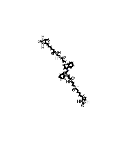 O=C(CCCCC1SCC2NC(=O)NC21)NCCNC(=O)CCN1C=C/C(=C\c2sc3ccccc3[n+]2CCC(=O)NCCNC(=O)CCCCC2SCC3NC(=O)NC32)c2ccccc21